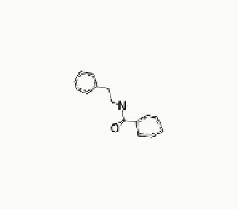 O=C([N]CCc1ccccc1)c1ccccc1